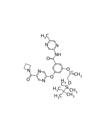 Cc1cnc(NC(=O)c2cc(Oc3cnc(C(=O)N4CCC4)cn3)cc(O[C@@H](C)CO[Si](C)(C)C(C)(C)C)c2)cn1